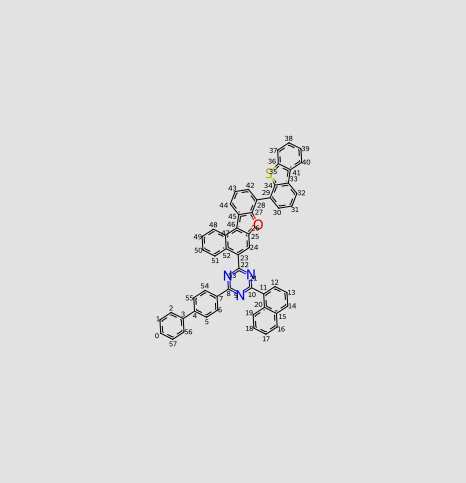 c1ccc(-c2ccc(-c3nc(-c4cccc5ccccc45)nc(-c4cc5oc6c(-c7cccc8c7sc7ccccc78)cccc6c5c5ccccc45)n3)cc2)cc1